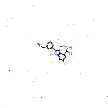 CC(C)Cc1cccc(-c2[nH]c3cc(F)cc4c3c2CCNC4=O)c1